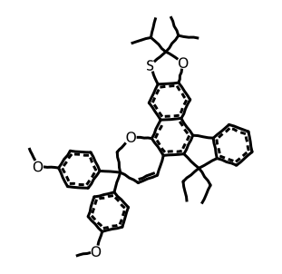 CCC1(CC)c2ccccc2-c2c1c1c(c3cc4c(cc23)OC(C(C)C)(C(C)C)S4)OCC(c2ccc(OC)cc2)(c2ccc(OC)cc2)C=C1